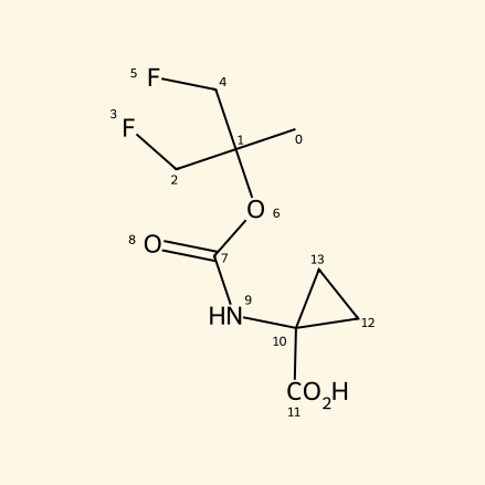 CC(CF)(CF)OC(=O)NC1(C(=O)O)CC1